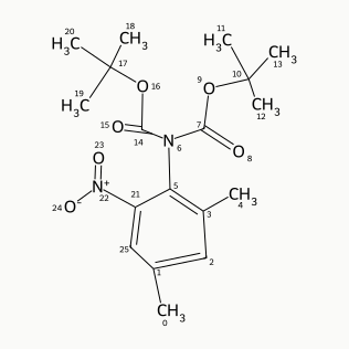 Cc1cc(C)c(N(C(=O)OC(C)(C)C)C(=O)OC(C)(C)C)c([N+](=O)[O-])c1